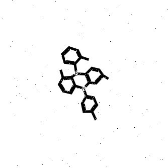 Cc1ccc(N2c3cc(C)ccc3B(c3ccccc3C)c3c(C)cccc32)cc1